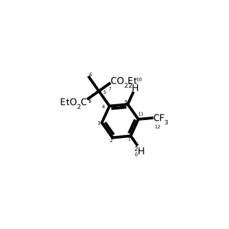 [2H]c1ccc(C(C)(C(=O)OCC)C(=O)OCC)c([2H])c1C(F)(F)F